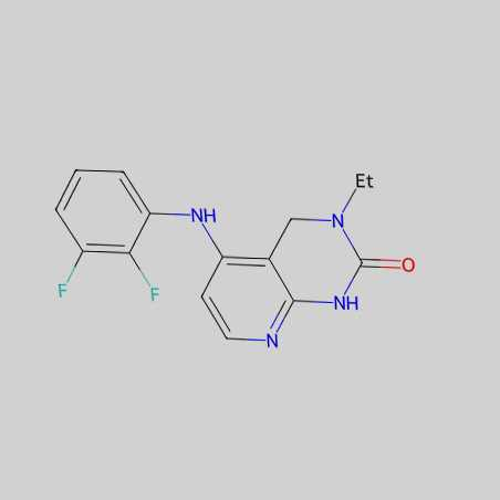 CCN1Cc2c(Nc3cccc(F)c3F)ccnc2NC1=O